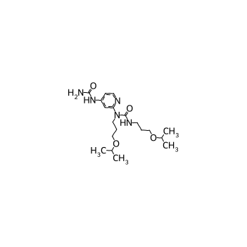 CC(C)OCCCNC(=O)N(CCCOC(C)C)c1cc(NC(N)=O)ccn1